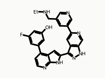 CCNCc1cncc(-c2cc3c(-c4cc5c(-c6cc(O)cc(F)c6)ccnc5[nH]4)n[nH]c3cn2)c1